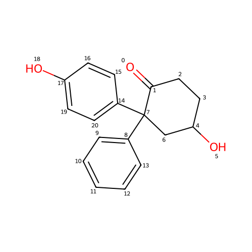 O=C1CCC(O)CC1(c1ccccc1)c1ccc(O)cc1